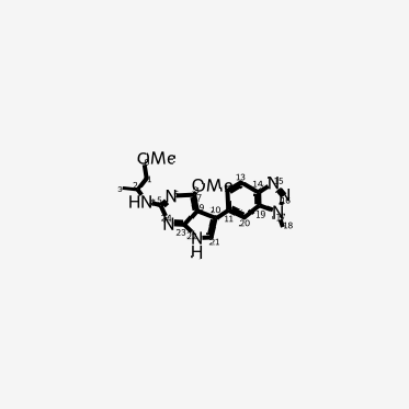 COCC(C)Nc1nc(OC)c2c(-c3ccc4nnn(C)c4c3)c[nH]c2n1